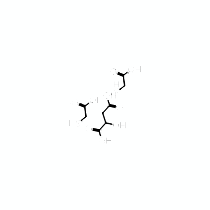 O=C(O)CC(O)C(=O)O.O=C(O)CS.O=C(O)CS